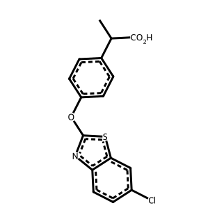 CC(C(=O)O)c1ccc(Oc2nc3ccc(Cl)cc3s2)cc1